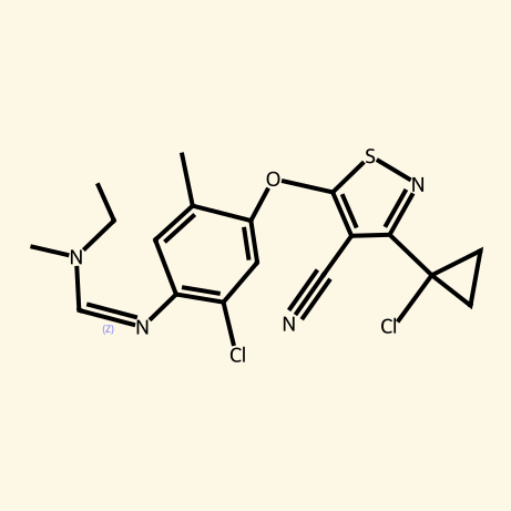 CCN(C)/C=N\c1cc(C)c(Oc2snc(C3(Cl)CC3)c2C#N)cc1Cl